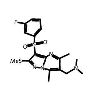 CSc1nn2c(C)c(CN(C)C)c(C)nc2c1S(=O)(=O)c1cccc(F)c1